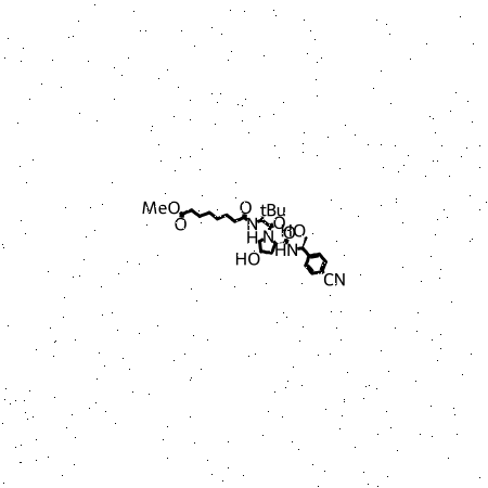 COC(=O)CCCCCCC(=O)NC(C(=O)N1C[C@H](O)C[C@H]1C(=O)N[C@@H](CO)c1ccc(C#N)cc1)C(C)(C)C